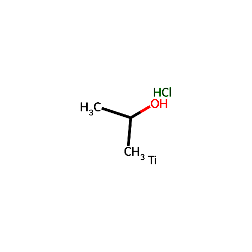 CC(C)O.Cl.[Ti]